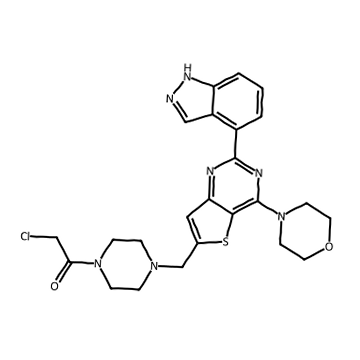 O=C(CCl)N1CCN(Cc2cc3nc(-c4cccc5[nH]ncc45)nc(N4CCOCC4)c3s2)CC1